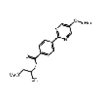 CCCCCCOc1cnc(-c2ccc(C(=O)OC(COC)C(F)(F)F)cc2)nc1